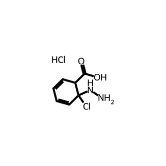 Cl.NNC1(Cl)C=CC=CC1C(=O)O